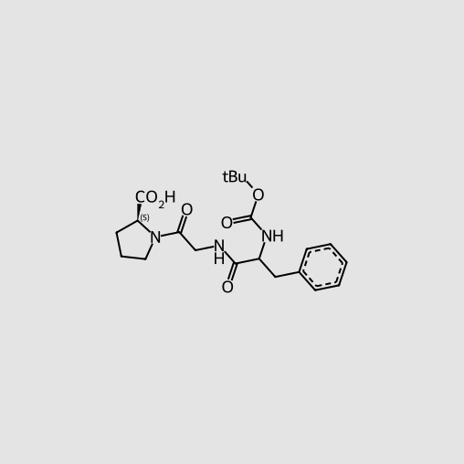 CC(C)(C)OC(=O)NC(Cc1ccccc1)C(=O)NCC(=O)N1CCC[C@H]1C(=O)O